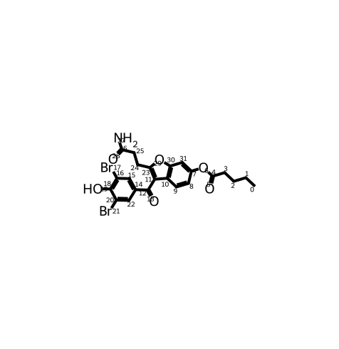 CCCCC(=O)Oc1ccc2c(C(=O)c3cc(Br)c(O)c(Br)c3)c(CCC(N)=O)oc2c1